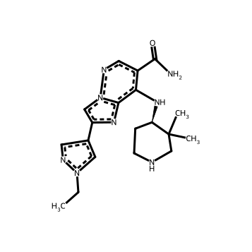 CCn1cc(-c2cn3ncc(C(N)=O)c(N[C@@H]4CCNCC4(C)C)c3n2)cn1